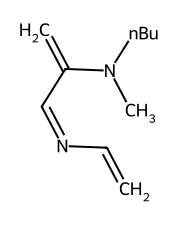 C=C/N=C\C(=C)N(C)CCCC